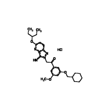 CCC(CC)Oc1ccc2nn(CC(=O)c3cc(OC)cc(OCC4CCCCC4)c3)c(=N)n2n1.Cl